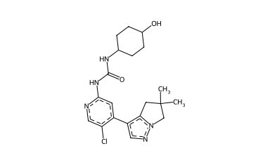 CC1(C)Cc2c(-c3cc(NC(=O)NC4CCC(O)CC4)ncc3Cl)cnn2C1